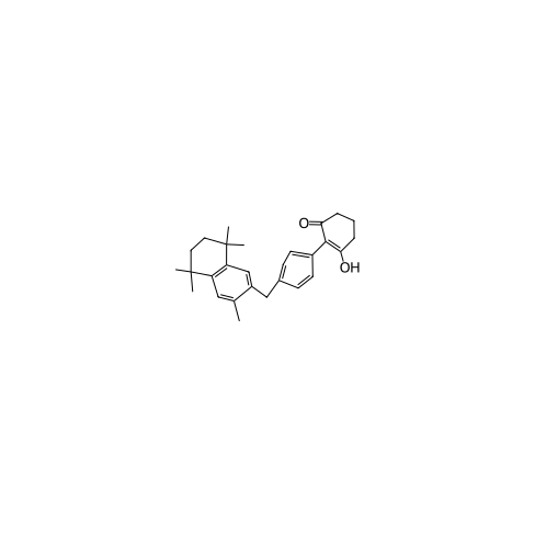 Cc1cc2c(cc1Cc1ccc(C3=C(O)CCCC3=O)cc1)C(C)(C)CCC2(C)C